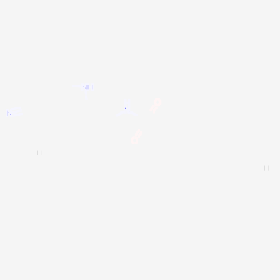 CCC(C)c1ccc(S(=O)(=O)Nc2ccc(C)c3c(C#N)c[nH]c23)cc1